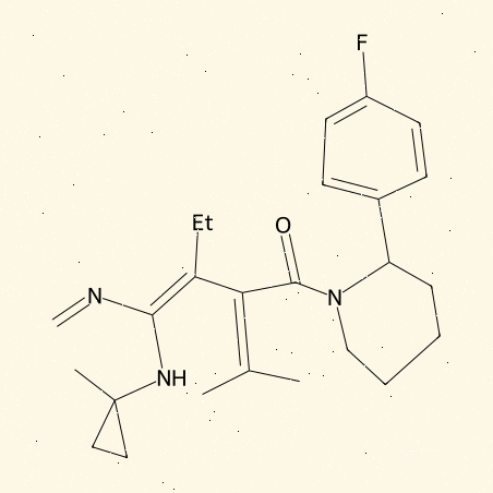 C=N/C(NC1(C)CC1)=C(\CC)C(C(=O)N1CCCCC1c1ccc(F)cc1)=C(C)C